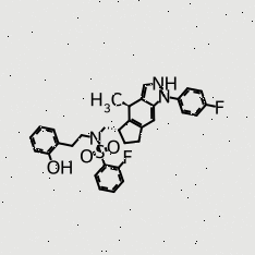 C[C@H]1C2=CNN(c3ccc(F)cc3)C2=CC2=C1[C@@H](CN(CCc1ccccc1O)S(=O)(=O)c1ccccc1F)CC2